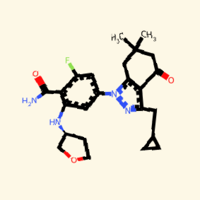 CC1(C)CC(=O)c2c(CC3CC3)nn(-c3cc(F)c(C(N)=O)c(N[C@H]4CCOC4)c3)c2C1